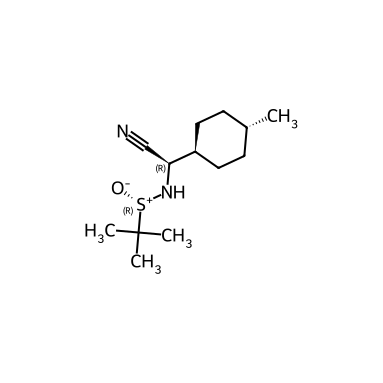 CC(C)(C)[S@+]([O-])N[C@@H](C#N)[C@H]1CC[C@H](C)CC1